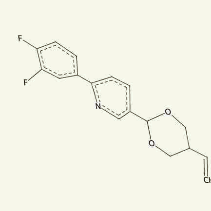 C=CC1COC(c2ccc(-c3ccc(F)c(F)c3)nc2)OC1